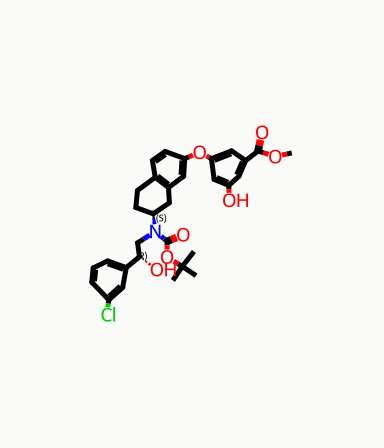 COC(=O)c1cc(O)cc(Oc2ccc3c(c2)C[C@@H](N(C[C@H](O)c2cccc(Cl)c2)C(=O)OC(C)(C)C)CC3)c1